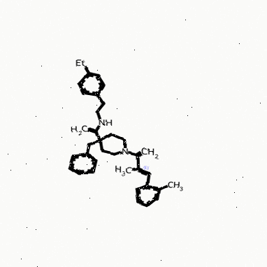 C=C(/C(C)=C/c1ccccc1C)N1CCC(Cc2ccccc2)(C(=C)NCCc2ccc(CC)cc2)CC1